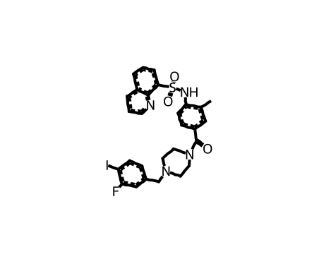 Cc1cc(C(=O)N2CCN(Cc3ccc(I)c(F)c3)CC2)ccc1NS(=O)(=O)c1cccc2cccnc12